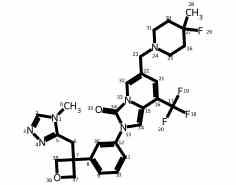 Cn1cnnc1CC1(c2cccc(-n3cc4c(C(F)(F)F)cc(CN5CCC(C)(F)CC5)cn4c3=O)c2)COC1